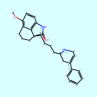 COc1ccc2c3c1CCCC3(CCCCC1CC(c3ccccc3)=CCN1)C(=O)N2